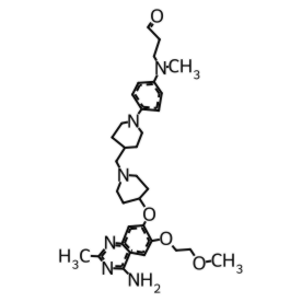 COCCOc1cc2c(N)nc(C)nc2cc1OC1CCN(CC2CCN(c3ccc(N(C)CCC=O)cc3)CC2)CC1